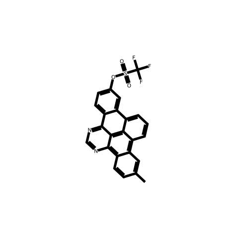 Cc1ccc2c(c1)c1cccc3c4cc(OS(=O)(=O)C(F)(F)F)ccc4c4ncnc2c4c13